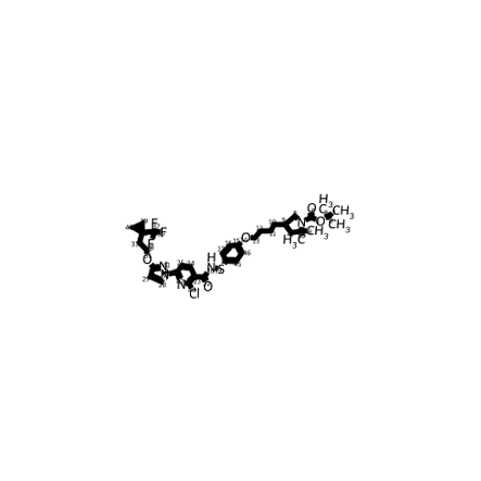 CC(C)(C)OC(=O)N1CC(CCCCOc2ccc(SNC(=O)c3ccc(-n4ccc(OCCC5(C(F)(F)F)CC5)n4)nc3Cl)cc2)CC1(C)C